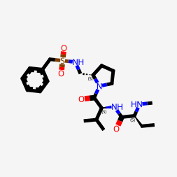 CC[C@H](NC)C(=O)N[C@H](C(=O)N1CCC[C@H]1CNS(=O)(=O)Cc1ccccc1)C(C)C